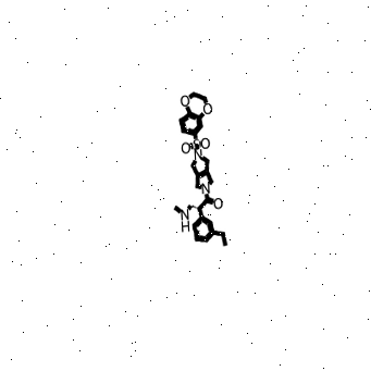 CCc1cccc([C@H](CNC)C(=O)N2CC3=C(C2)CN(S(=O)(=O)c2ccc4c(c2)OCCO4)C3)c1